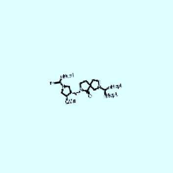 CCCCCCCC(CC)N1C[C@H](OC)[C@H](ON2CCC3(CCN(C(CCCCCCC)CCCCCCC)C3)C2=O)C1